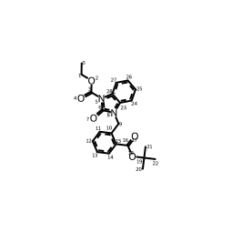 CCOC(=O)n1c(=O)n(Cc2ccccc2C(=O)OC(C)(C)C)c2ccccc21